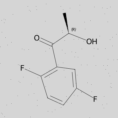 C[C@@H](O)C(=O)c1cc(F)ccc1F